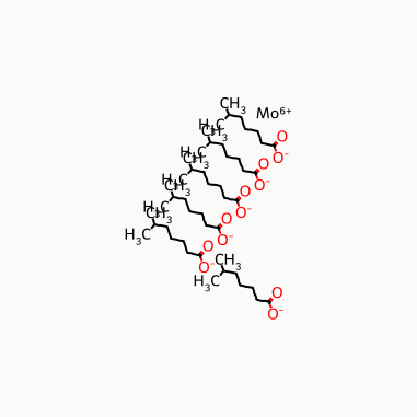 CC(C)CCCCC(=O)[O-].CC(C)CCCCC(=O)[O-].CC(C)CCCCC(=O)[O-].CC(C)CCCCC(=O)[O-].CC(C)CCCCC(=O)[O-].CC(C)CCCCC(=O)[O-].[Mo+6]